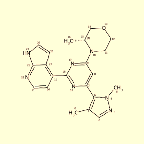 Cc1cnn(C)c1-c1cc(N2CCOC[C@H]2C)nc(-c2ccnc3[nH]ccc23)n1